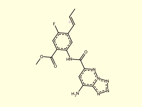 C/C=C/c1cc(NC(=O)c2cc(N)c3nnnn3n2)c(C(=O)OC)cc1F